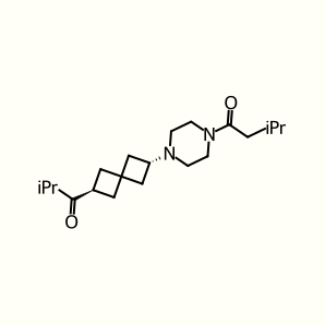 CC(C)CC(=O)N1CCN([C@H]2CC3(C[C@H](C(=O)C(C)C)C3)C2)CC1